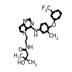 Cc1cc(Nc2ncnc3ccn(CCNC(=O)CC(C)(C)O)c23)ccc1Oc1cccc(C(F)(F)F)c1